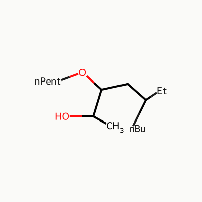 CCCCCOC(CC(CC)CCCC)C(C)O